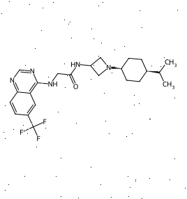 CC(C)[C@H]1CC[C@@H](N2CC(NC(=O)CNc3ncnc4ccc(C(F)(F)F)cc34)C2)CC1